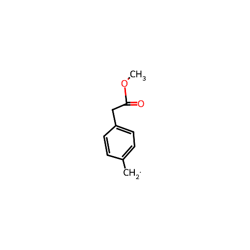 [CH2]c1ccc(CC(=O)OC)cc1